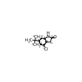 CC(C)(C)c1cc(Cl)c2c(c1)NC(=O)C2